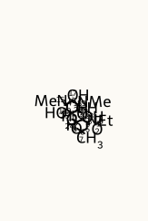 CCC(=O)NC1C[C@@H](C)O[C@H]2O[C@@H]3[C@@H](O)[C@H](NC)[C@H](O)[C@H](NC)[C@H]3O[C@@]12O